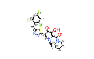 C#Cn1cc(-c2nnc(Cc3c(F)cc(F)cc3F)s2)c(=O)c(O)c1C(=O)N1CCCCC1